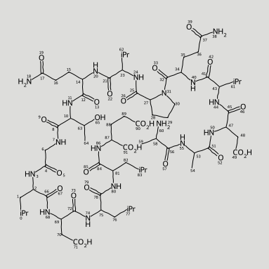 CC(C)CC(NC(=O)CNC(=O)C(NC(=O)C(CCC(N)=O)NC(=O)C(NC(=O)C1CCCN1C(=O)C(CCC(N)=O)NC(=O)C(NC(=O)C(CC(=O)O)NC(=O)C(C)NC(=O)C(C)N)C(C)C)C(C)C)C(C)O)C(=O)NC(CC(=O)O)C(=O)NC(CC(C)C)C(=O)NC(CC(C)C)C(=O)NC(CCC(=O)O)C(=O)O